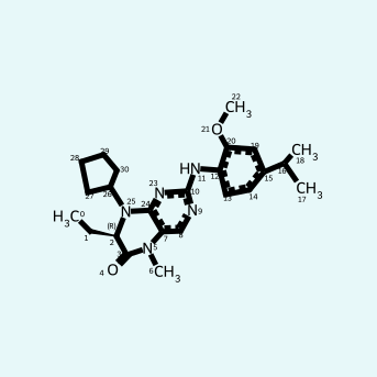 CC[C@@H]1C(=O)N(C)c2cnc(Nc3ccc(C(C)C)cc3OC)nc2N1C1CCCC1